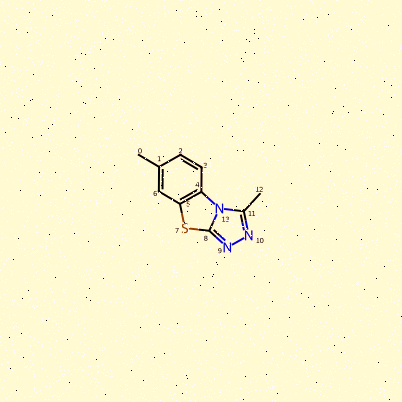 Cc1ccc2c(c1)sc1nnc(C)n12